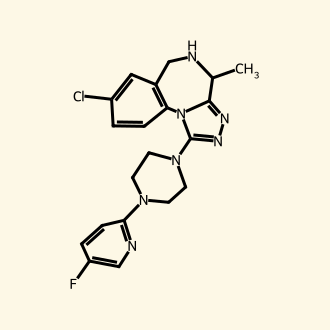 CC1NCc2cc(Cl)ccc2-n2c1nnc2N1CCN(c2ccc(F)cn2)CC1